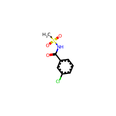 CS(=O)(=O)NC(=O)c1cccc(Cl)c1